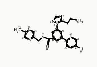 CCCc1ncnn1-c1cc(C(=O)NCc2cnc(C)cn2)cc(-c2ccc(Cl)cn2)c1